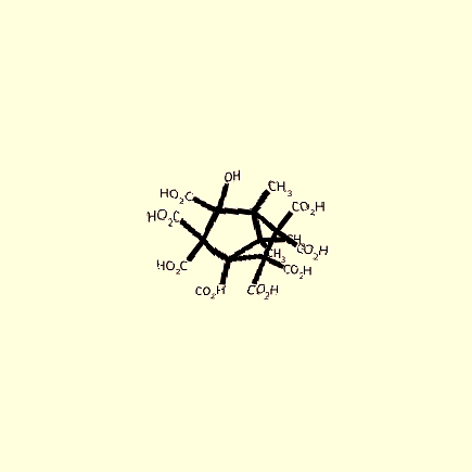 CC1(C)C2(C)C(O)(C(=O)O)C(C(=O)O)(C(=O)O)C1(C(=O)O)C(C(=O)O)(C(=O)O)C2(C(=O)O)C(=O)O